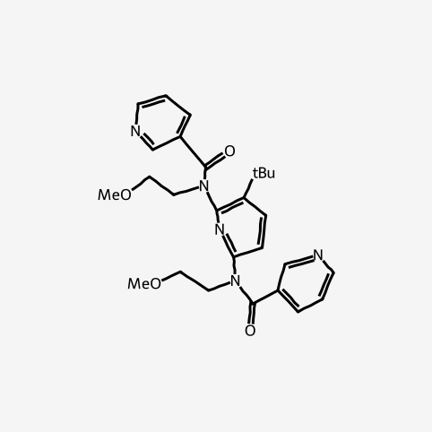 COCCN(C(=O)c1cccnc1)c1ccc(C(C)(C)C)c(N(CCOC)C(=O)c2cccnc2)n1